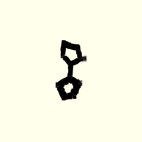 C1=CSC(c2nncs2)N1